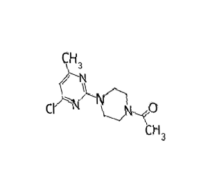 CC(=O)N1CCN(c2nc(C)cc(Cl)n2)CC1